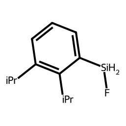 CC(C)c1cccc([SiH2]F)c1C(C)C